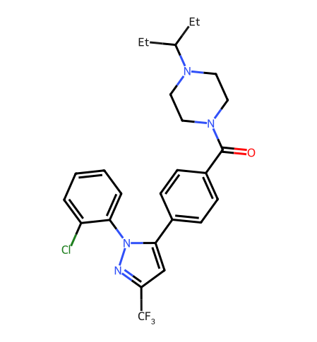 CCC(CC)N1CCN(C(=O)c2ccc(-c3cc(C(F)(F)F)nn3-c3ccccc3Cl)cc2)CC1